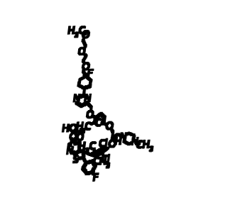 COCCOCCOC[C@]1(F)CC=C(c2nccc(COc3ccc4cc3C[C@H](C(=O)O)Oc3ncnc5sc(-c6ccc(F)cc6)c(c35)-c3c(C)c(Cl)c(c(Cl)c3C)O[C@H](CN3CCN(C)CC3)CO4)n2)CC1